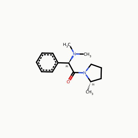 C[C@H]1CCCN1C(=O)[C@@H](c1ccccc1)N(C)C